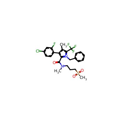 Cc1c(-c2ccc(Cl)cc2F)c(C(=O)N(C)CCCS(C)(=O)=O)n(Cc2ccccc2)c1C(F)(F)F